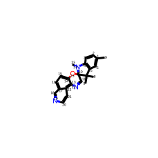 Cc1ccc2c(c1)C(C)(C)C1(C=Nc3c(ccc4cnccc34)O1)N2C